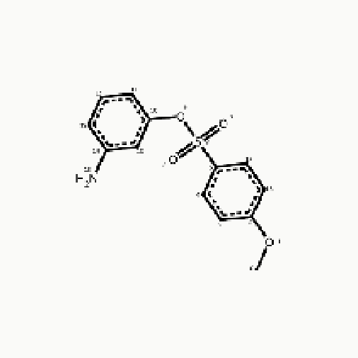 COc1ccc(S(=O)(=O)Oc2cccc(N)c2)cc1